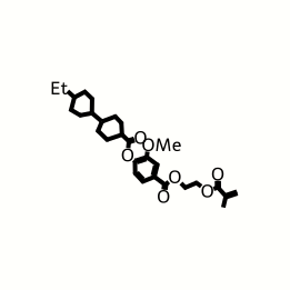 C=C(C)C(=O)OCCOC(=O)c1ccc(OC(=O)C2CCC(C3CCC(CC)CC3)CC2)c(OC)c1